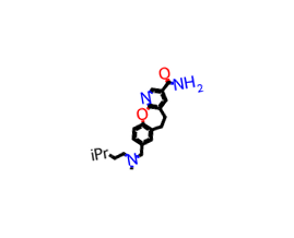 CC(C)CCN(C)Cc1ccc2c(c1)CCc1cc(C(N)=O)cnc1O2